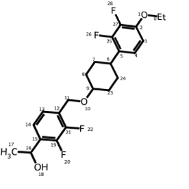 CCOc1ccc(C2CCC(OCc3ccc(C(C)O)c(F)c3F)CC2)c(F)c1F